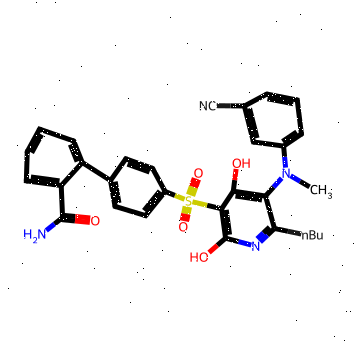 CCCCc1nc(O)c(S(=O)(=O)c2ccc(-c3ccccc3C(N)=O)cc2)c(O)c1N(C)c1cccc(C#N)c1